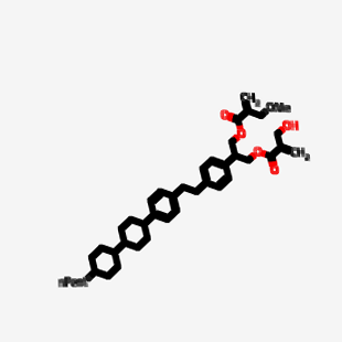 C=C(CO)C(=O)OCC(COC(=O)C(=C)COC)c1ccc(CCc2ccc(C3CCC(C4CCC(CCCCC)CC4)CC3)cc2)cc1